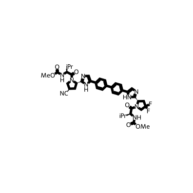 COC(=O)N[C@H](C(=O)N1C[C@@H](C#N)C[C@H]1c1ncc(-c2ccc(-c3ccc(-c4cnc([C@@H]5CC(F)(F)CN5C(=O)[C@@H](NC(=O)OC)C(C)C)[nH]4)cc3)cc2)[nH]1)C(C)C